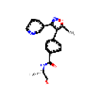 Cc1onc(-c2cccnc2)c1-c1ccc(C(=O)N[C@@H](C)CO)cc1